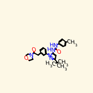 Cc1ccc(NC(=O)Nc2cc(C(C)(C)C)nn2-c2cccc(CC(=O)N3CCOCC3)c2)cc1